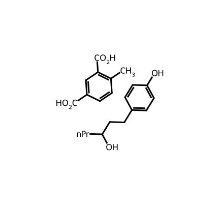 CCCC(O)CCc1ccc(O)cc1.Cc1ccc(C(=O)O)cc1C(=O)O